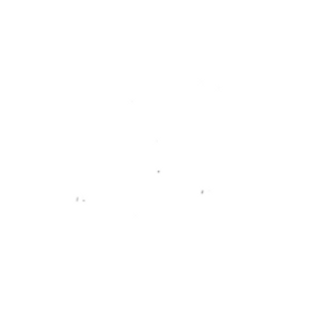 CCCO[Si](OCC(C)CC)(C1CCCC1)C1CC(C)CC(C)C1